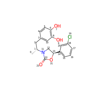 C[C@H](Cc1ccc(O)c(O)c1)N1C[C@@H](c2cccc(Cl)c2)OC1=O